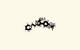 Oc1nn(CCN2CCCCC2)cc1-c1ccc(OC(F)(F)F)cc1